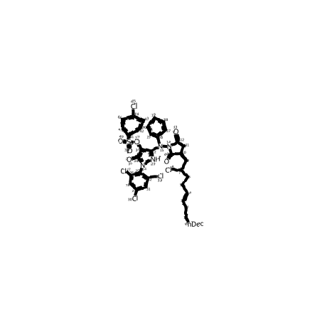 CCCCCCCCCCCCC=CCCC(Cl)CC1CC(=O)N(N(c2ccccc2)c2[nH]n(-c3c(Cl)cc(Cl)cc3Cl)c(=O)c2OS(=O)(=O)c2ccc(Cl)cc2)C1=O